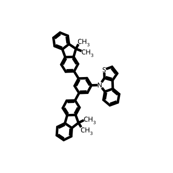 CC1(C)c2ccccc2-c2ccc(-c3cc(-c4ccc5c(c4)C(C)(C)c4ccccc4-5)cc(-n4c5ccccc5c5ccsc54)c3)cc21